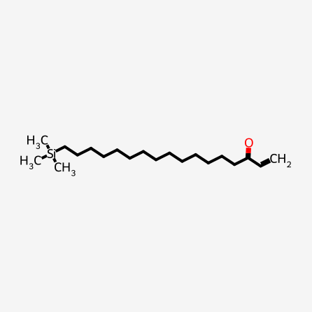 C=CC(=O)CCCCCCCCCCCCCC[Si](C)(C)C